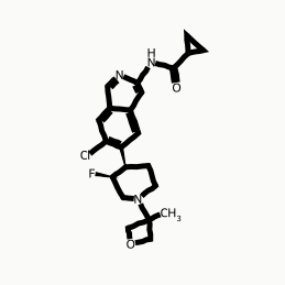 CC1(N2CC[C@H](c3cc4cc(NC(=O)C5CC5)ncc4cc3Cl)[C@H](F)C2)COC1